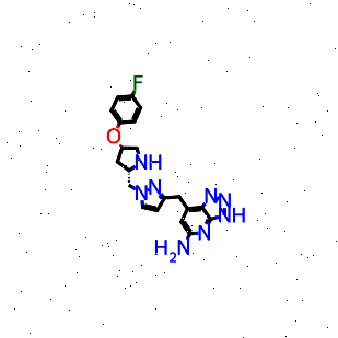 Nc1cc(Cc2ccn(C[C@@H]3C[C@H](Oc4ccc(F)cc4)CN3)n2)c2nn[nH]c2n1